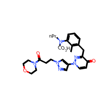 CCCN(C(=O)O)c1cccc(Cc2nn(-c3cnn(CCC(=O)N4CCOCC4)c3)ccc2=O)c1C